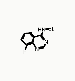 CCNc1ncnc2c(F)cccc12